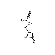 C#CC(=O)OCC1CC(=O)O1